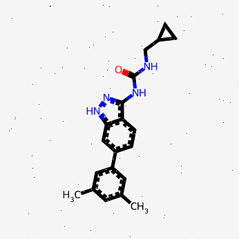 Cc1cc(C)cc(-c2ccc3c(NC(=O)NCC4CC4)n[nH]c3c2)c1